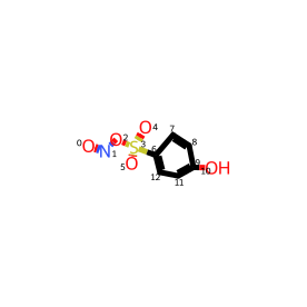 O=NOS(=O)(=O)c1ccc(O)cc1